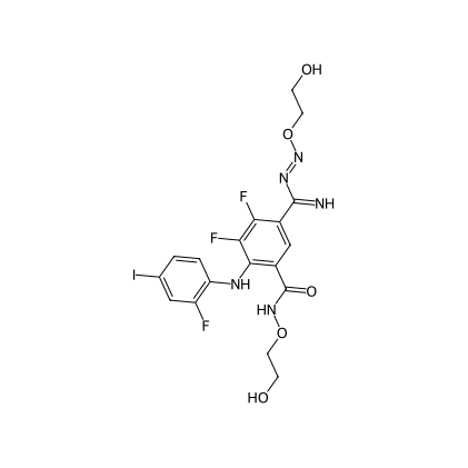 N=C(/N=N/OCCO)c1cc(C(=O)NOCCO)c(Nc2ccc(I)cc2F)c(F)c1F